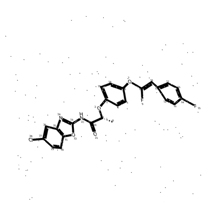 C[C@@H](Oc1ccc(OC(F)=Cc2ccc(F)cc2)cc1)C(=O)Nc1nc2cc(Cl)ccc2o1